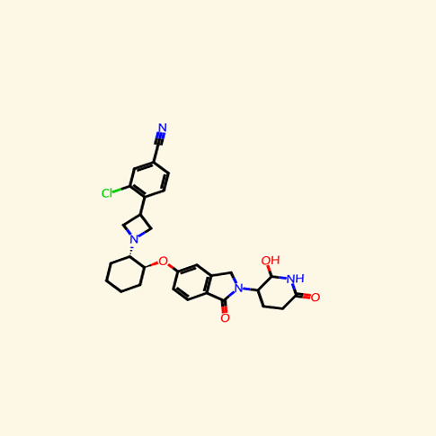 N#Cc1ccc(C2CN([C@H]3CCCC[C@@H]3Oc3ccc4c(c3)CN(C3CCC(=O)NC3O)C4=O)C2)c(Cl)c1